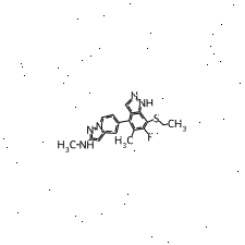 CCSc1c(F)c(C)c(-c2ccn3nc(NC)cc3c2)c2cn[nH]c12